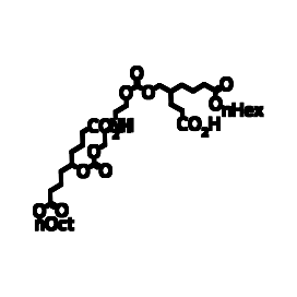 CCCCCCCCOC(=O)CCCC(CCCC(=O)O)OC(=O)OCCNCCOC(=O)OCC(CCCC(=O)OCCCCCC)CCC(=O)O